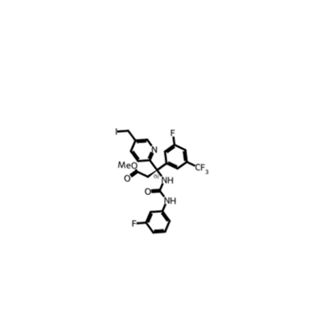 COC(=O)C[C@](NC(=O)Nc1cccc(F)c1)(c1cc(F)cc(C(F)(F)F)c1)c1ccc(CI)cn1